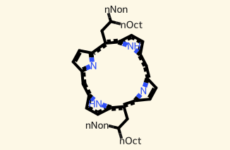 CCCCCCCCCC(CCCCCCCC)Cc1c2nc(cc3ccc([nH]3)c(CC(CCCCCCCC)CCCCCCCCC)c3nc(cc4ccc1[nH]4)C=C3)C=C2